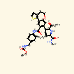 CCCNC(=O)c1ccc(-c2cc3c(cc2C(=O)Nc2ccc(CNC(=O)OC(C)(C)C)cc2C(=O)O)-c2sccc2CCO3)c(C(=O)OC)n1